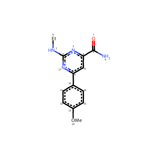 CCNc1nc(C(N)=O)cc(-c2ccc(OC)cc2)n1